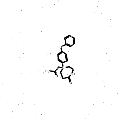 NC(=O)C[N+]1(c2ccc(Oc3ccccc3)cc2)CCNC(=O)CC1